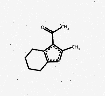 CC(=O)c1c(C)sc2c1CCCC2